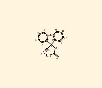 C=C(Cl)CC(C#N)(c1ccccc1)c1ccccc1